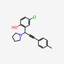 Cc1ccc(C#CC(c2cc(Cl)ccc2O)N2CCCC2)cc1